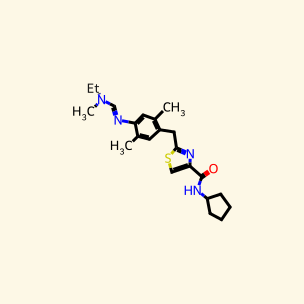 CCN(C)/C=N/c1cc(C)c(Cc2nc(C(=O)NC3CCCC3)cs2)cc1C